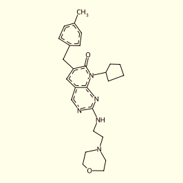 Cc1ccc(Cc2cc3cnc(NCCN4CCOCC4)nc3n(C3CCCC3)c2=O)cc1